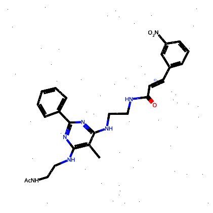 CC(=O)NCCNc1nc(-c2ccccc2)nc(NCCNC(=O)/C=C/c2cccc([N+](=O)[O-])c2)c1C